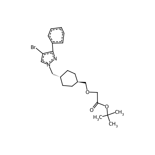 CC(C)(C)OC(=O)COC[C@H]1CC[C@H](Cn2cc(Br)c(-c3ccccc3)n2)CC1